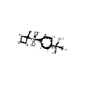 CC1(S(=O)(=O)c2ccc(C(F)(F)F)cc2)CCC1